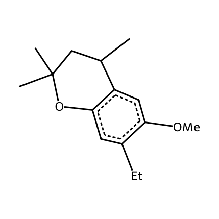 CCc1cc2c(cc1OC)C(C)CC(C)(C)O2